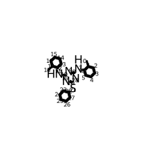 Cc1ccccc1Nc1nc(Nc2ccccc2C)nc(Sc2ccccc2)n1